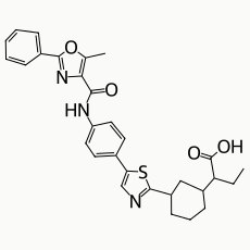 CCC(C(=O)O)C1CCCC(c2ncc(-c3ccc(NC(=O)c4nc(-c5ccccc5)oc4C)cc3)s2)C1